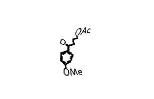 COc1ccc(C(=O)CCCOC(C)=O)cc1